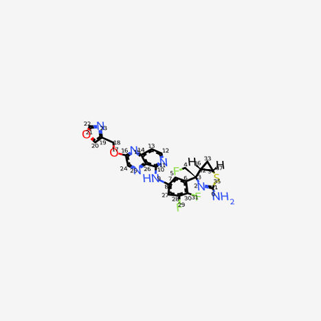 NC1=N[C@](CF)(c2cc(Nc3nccc4nc(OCc5cocn5)cnc34)cc(F)c2F)[C@@H]2C[C@@H]2S1